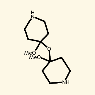 COC1(OC2(OC)CCNCC2)CCNCC1